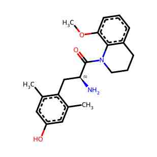 COc1cccc2c1N(C(=O)[C@@H](N)Cc1c(C)cc(O)cc1C)CCC2